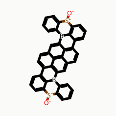 [O-][S+]1c2ccccc2B2c3c(cccc31)-c1ccc3cc4c5c(ccc6cc2c1c3c65)-c1cccc2c1B4c1ccccc1[S+]2[O-]